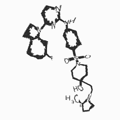 C[C@@H]1CCCN1CC1(O)CCN(S(=O)(=O)c2ccc(Nc3nccc(-n4ccc5ccc(F)cc54)n3)cc2)CC1